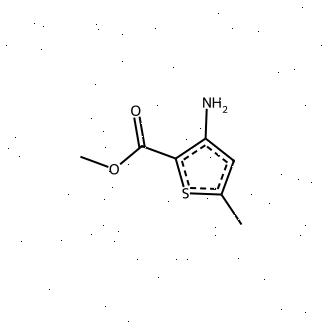 COC(=O)c1sc(C)cc1N